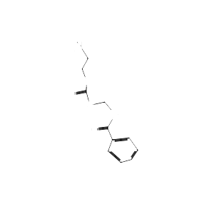 C[C@@H](OC(=O)SCCN)OC(=O)c1ccccc1